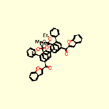 CCOC(OC)(OC(OC)(OCC)c1c(-c2ccccc2)cc(C(=O)c2cc3ccccc3o2)cc1-c1ccccc1)c1c(-c2ccccc2)cc(C(=O)c2cc3ccccc3o2)cc1-c1ccccc1